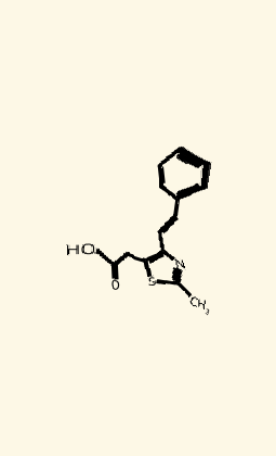 Cc1nc(C=Cc2ccccc2)c(CC(=O)O)s1